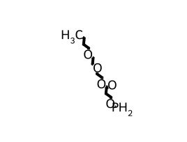 CCCCOCCOCCOC(=O)CCOP